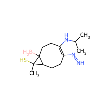 BC12CC/C(NC(C)C)=C(/N=N)CCC1C2(C)S